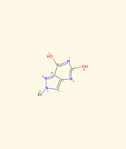 CCn1cc2nc(O)nc(O)c2n1